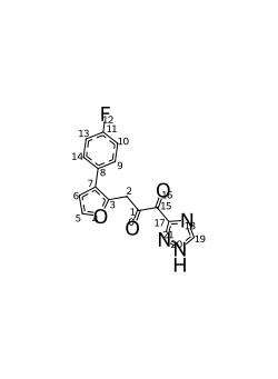 O=C(Cc1occc1-c1ccc(F)cc1)C(=O)c1nc[nH]n1